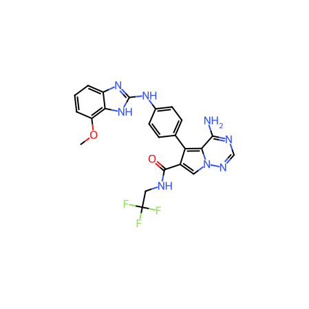 COc1cccc2nc(Nc3ccc(-c4c(C(=O)NCC(F)(F)F)cn5ncnc(N)c45)cc3)[nH]c12